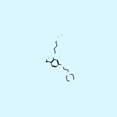 COCCCCOc1cc(OCCN2CCOCC2)ccc1C(=O)O